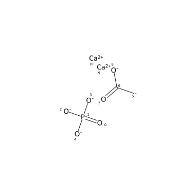 O=P([O-])([O-])[O-].[CH2]C(=O)[O-].[Ca+2].[Ca+2]